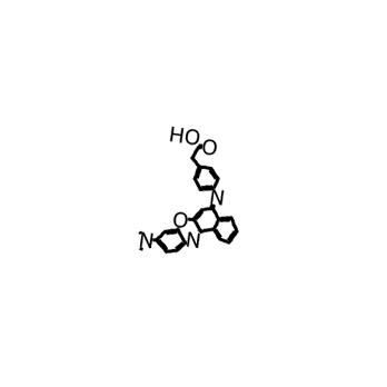 CN(C)c1ccc2nc3c4ccccc4c(=Nc4ccc(CC(=O)O)cc4)cc-3oc2c1